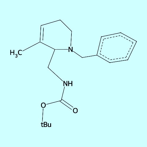 CC1=CCCN(Cc2ccccc2)C1CNC(=O)OC(C)(C)C